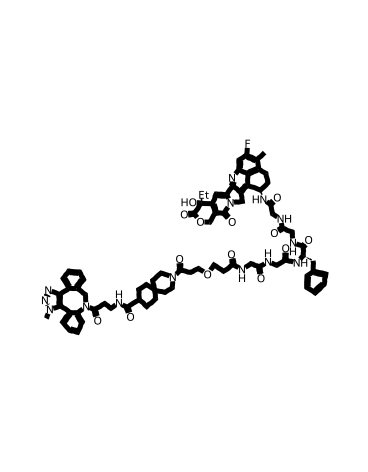 CC[C@@]1(O)C(=O)OCc2c1cc1n(c2=O)Cc2c-1nc1cc(F)c(C)c3c1c2[C@@H](NC(=O)CNC(=O)CNC(=O)[C@H](Cc1ccccc1)NC(=O)CNC(=O)CNC(=O)CCOCCC(=O)N1CCC2(CCC(C(=O)NCCC(=O)N4Cc5ccccc5-c5nnn(C)c5-c5ccccc54)CC2)CC1)CC3